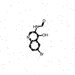 O=CNc1cnc2ccc(Br)cc2c1O